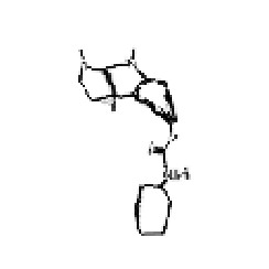 CN1CC[C@@]2(C)c3cc(OC(=O)NC4CCCCC4)ccc3N(C)C12